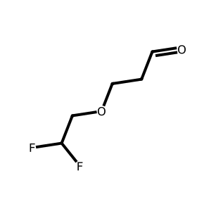 O=CCCOCC(F)F